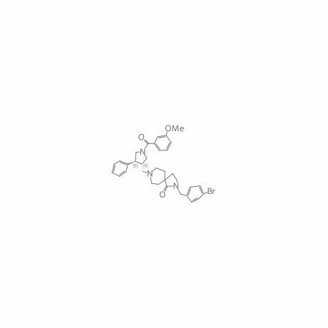 COc1cccc(C(=O)N2C[C@H](CN3CCC4(CC3)CCN(Cc3ccc(Br)cc3)C4=O)[C@@H](c3ccccc3)C2)c1